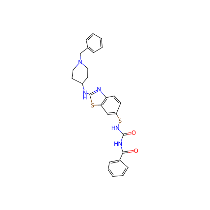 O=C(NSc1ccc2nc(NC3CCN(Cc4ccccc4)CC3)sc2c1)NC(=O)c1ccccc1